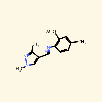 COc1cc(C)ccc1/N=C/c1cn(C)nc1C